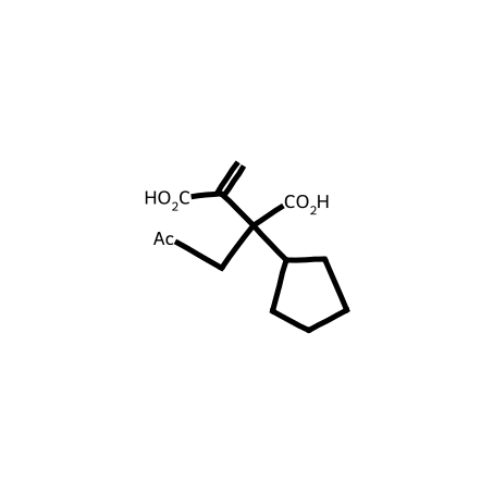 C=C(C(=O)O)C(CC(C)=O)(C(=O)O)C1CCCC1